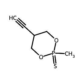 C#CC1COP(C)(=S)OC1